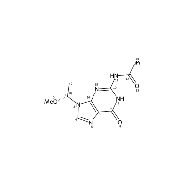 CO[C@H](C)n1cnc2c(=O)[nH]c(NC(=O)C(C)C)nc21